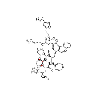 C=CCOC(=O)C[C@H](NC(=O)c1c(OC[C@@H](Cc2ccccc2)NC(=O)[C@@H](C2CCCC2)N(C)C(=O)[C@H](CC(C)C)N(C)C(=O)OCC=C)cnc2ccccc12)C(=O)NCCc1cc(C)no1